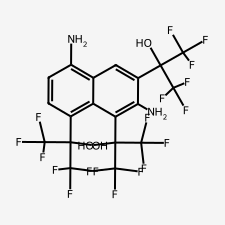 Nc1c(C(O)(C(F)(F)F)C(F)(F)F)cc2c(N)ccc(C(O)(C(F)(F)F)C(F)(F)F)c2c1C(O)(C(F)(F)F)C(F)(F)F